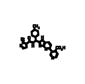 CCn1nccc1C(=O)NC(c1nc2nc(-c3cnccc3C(=O)O)ccc2[nH]1)C1CCC(C)CC1